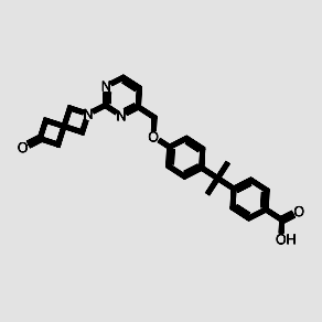 CC(C)(c1ccc(OCc2ccnc(N3CC4(CC(=O)C4)C3)n2)cc1)c1ccc(C(=O)O)cc1